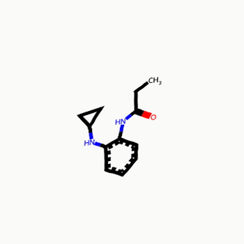 C[CH]C(=O)Nc1ccccc1NC1CC1